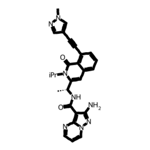 CC(C)n1c([C@@H](C)NC(=O)c2c(N)nn3cccnc23)cc2cccc(C#Cc3cnn(C)c3)c2c1=O